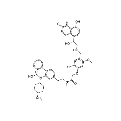 COc1cc(OCC(=O)N(C)CCc2ccc(-c3ccccc3)c(N(C(=O)O)C3CCC(N)CC3)c2)c(Cl)cc1CNC[C@H](O)c1ccc(O)c2[nH]c(=O)ccc12